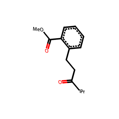 COC(=O)c1ccccc1CCC(=O)C(C)C